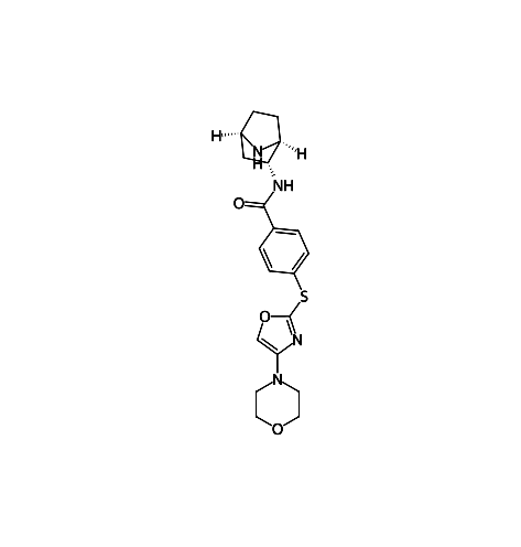 O=C(N[C@@H]1C[C@H]2CC[C@@H]1N2)c1ccc(Sc2nc(N3CCOCC3)co2)cc1